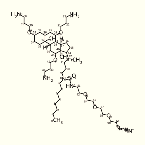 CCCCCCCCN(CCC[C@@H](C)C1CC[C@H]2C3[C@H](OCCCN)CC4C[C@H](OCCCN)CCC4(C)[C@H]3C[C@H](OCCCN)C12C)C(=O)NCCOCCOCCOCCN=[N+]=[N-]